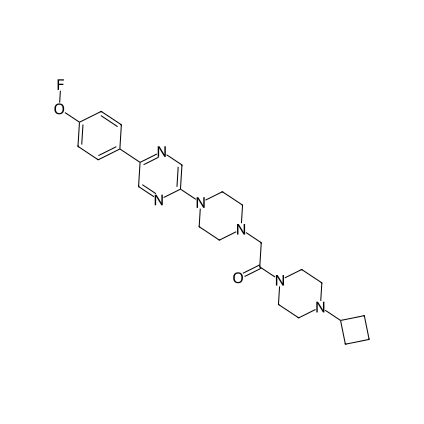 O=C(CN1CCN(c2cnc(-c3ccc(OF)cc3)cn2)CC1)N1CCN(C2CCC2)CC1